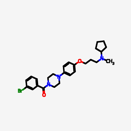 CN(CCCOc1ccc(N2CCN(C(=O)c3cccc(Br)c3)CC2)cc1)C1CCCC1